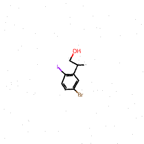 [CH2]C(CO)c1cc(Br)ccc1I